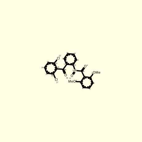 COc1cccc(OC)c1C(=O)[P](=O)c1ccccc1C(=O)c1c(Cl)cccc1Cl